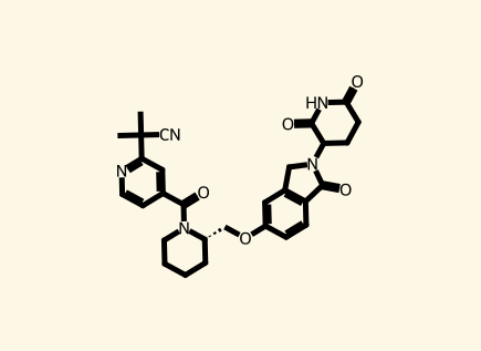 CC(C)(C#N)c1cc(C(=O)N2CCCC[C@H]2COc2ccc3c(c2)CN(C2CCC(=O)NC2=O)C3=O)ccn1